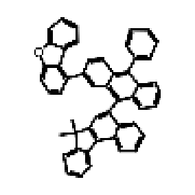 CC1(C)c2ccccc2-c2c1cc(-c1c3ccccc3c(-c3ccccc3)c3ccc(-c4cccc5oc6ccccc6c45)cc13)c1ccccc21